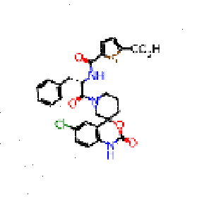 O=C1Nc2ccc(Cl)cc2C2(CCCN(C(=O)[C@H](Cc3ccccc3)NC(=O)c3ccc(C(=O)O)s3)C2)O1